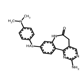 CN(C)c1ccc([AsH]c2ccc3c(c2)NC(=O)Cc2cnc(N)nc2-3)cc1